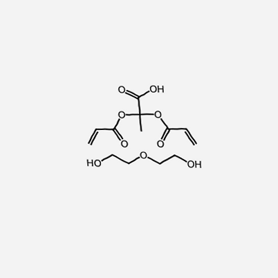 C=CC(=O)OC(C)(OC(=O)C=C)C(=O)O.OCCOCCO